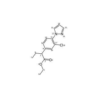 CCOC(=O)C(CC)c1ccc(-n2cccn2)c(Cl)c1